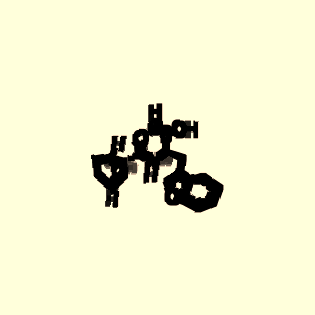 O=C(N[C@H](Cc1coc2ccccc12)B(O)O)[C@@H]1C[C@@H]2CC[C@H]1O2